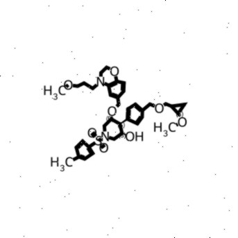 COCCCN1CCOc2ccc(CO[C@H]3CN(S(=O)(=O)c4ccc(C)cc4)C[C@@H](O)[C@@H]3c3ccc(COCC4C[C@@H]4OC)cc3)cc21